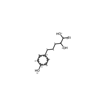 CCC(O)C(O)CCCc1ccc(O)cc1